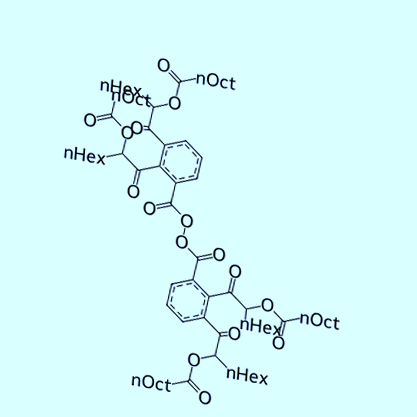 CCCCCCCCC(=O)OC(CCCCCC)C(=O)c1cccc(C(=O)OOC(=O)c2cccc(C(=O)C(CCCCCC)OC(=O)CCCCCCCC)c2C(=O)C(CCCCCC)OC(=O)CCCCCCCC)c1C(=O)C(CCCCCC)OC(=O)CCCCCCCC